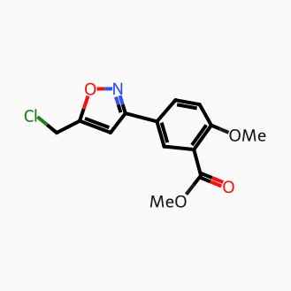 COC(=O)c1cc(-c2cc(CCl)on2)ccc1OC